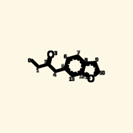 CCC(=O)Cc1ccc2ccoc2c1